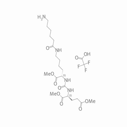 COC(=O)CC[C@H](NC(=O)N[C@@H](CCCCNC(=O)CCCCCN)C(=O)OC)C(=O)OC.O=C(O)C(F)(F)F